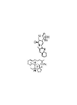 CCC1(O)C(=O)OCc2c1cc1n(c2=O)Cc2cc3cc(CC(CCCC4=CCCC5CC[C@H]6[C@@H]7CCC[C@@]7(C)CC[C@@H]6[C@@]45C)OC(C)=O)ccc3nc2-1